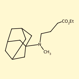 CCOC(=O)CCCN(C)C12CC3CC(CC(C3)C1)C2